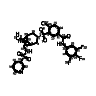 CC1CC2C[C@@H](S(=O)(=O)c3cc(C(=O)Nc4cc(F)c(F)c(F)c4)ccc3Cl)CC1[C@@]2(O)CNS(=O)(=O)c1cccnc1